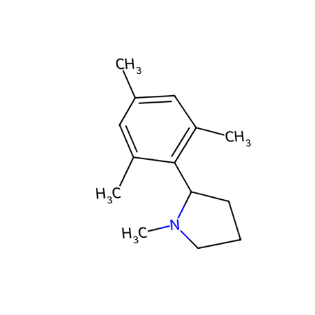 Cc1cc(C)c(C2CCCN2C)c(C)c1